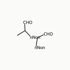 CCCCCCCCCC(C)C=O.CCCCCCCCCCC=O